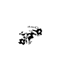 COc1ccc(C)c(NC(=O)c2cc(Br)n(S(=O)(=O)c3ccc(C)cc3)c2/N=C/N(C)C)c1C